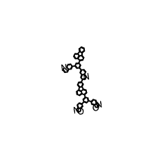 c1ccc2c(c1)-c1cccc3c(-c4cc(-c5ccc6ncccc6c5)cc(-c5ccc6ncc(-c7ccc8c(c7)-c7ccc(-c9cc(-c%10ccc%11ncoc%11c%10)cc(-c%10ccc%11ncoc%11c%10)c9)c9cccc-8c79)cc6c5)c4)ccc-2c13